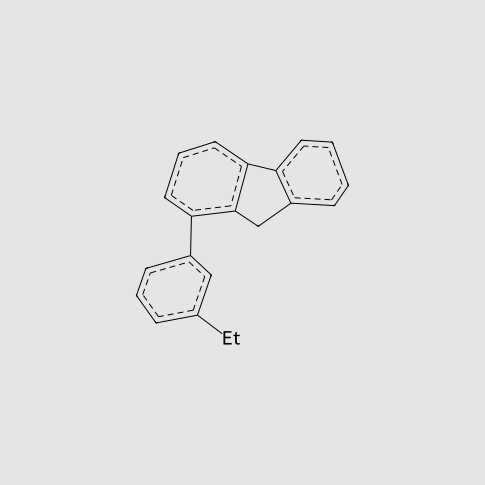 CCc1cccc(-c2cccc3c2Cc2ccccc2-3)c1